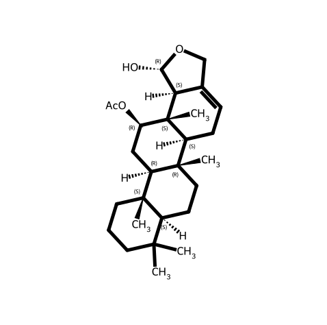 CC(=O)O[C@@H]1C[C@@H]2[C@@]3(C)CCCC(C)(C)[C@@H]3CC[C@@]2(C)[C@@H]2CC=C3CO[C@@H](O)[C@@H]3[C@@]12C